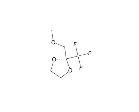 COCC1(C(F)(F)F)OCCO1